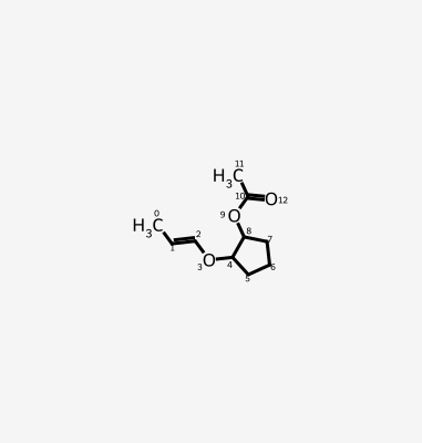 CC=COC1CCCC1OC(C)=O